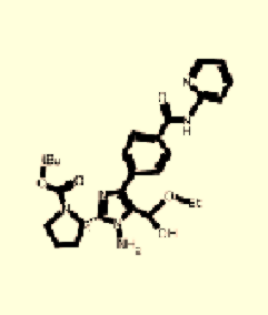 CCOC(O)c1c(-c2ccc(C(=O)Nc3ccccn3)cc2)nc([C@@H]2CCCN2C(=O)OC(C)(C)C)n1N